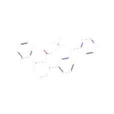 CC(C)(C)OC(=O)N1C(c2cccc(Cc3ccncn3)n2)CCCC1c1ncccc1Cl